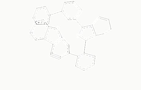 c1c(-c2ccccc2-c2sc(-c3cccc(-c4ccccc4)c3)c3c2CCC=C3)cc2oc3ccccc3c2c#1